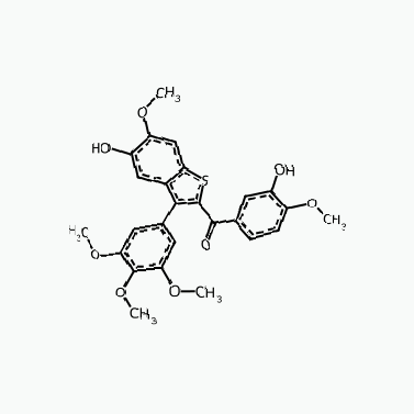 COc1ccc(C(=O)c2sc3cc(OC)c(O)cc3c2-c2cc(OC)c(OC)c(OC)c2)cc1O